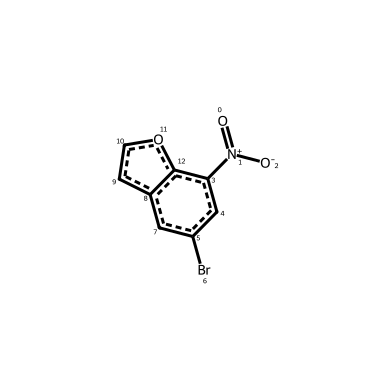 O=[N+]([O-])c1cc(Br)cc2ccoc12